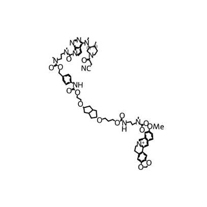 COc1ccc2cc3[n+](cc2c1OC(=O)N(C)CCNC(=O)OCCCOC1CC2CC(OCCOC(=O)Nc4ccc(COC(=O)N(C)CCN(C)C(=O)n5ccc6c(N(C)[C@@H]7CN(C(=O)CC#N)CC[C@@H]7C)ncnc65)cc4)CC2C1)CCc1cc2c(cc1-3)OCO2